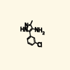 Cc1n[nH]c(-c2cccc(Cl)c2)c1N